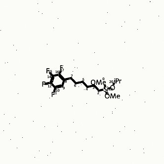 CO[Si](CCCCCCc1cc(F)c(F)c(F)c1F)(OC)OC(C)C